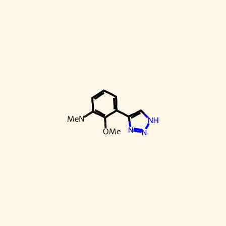 CNc1cccc(-c2c[nH]nn2)c1OC